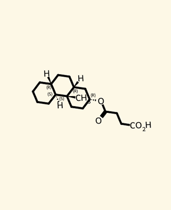 C[C@]12CC[C@@H](OC(=O)CCC(=O)O)C[C@H]1CC[C@H]1CCCC[C@@H]12